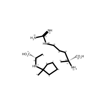 C[C@H](NC1(C)CCCC1)C(=O)O.C[C@](N)(CCCNC(=N)N)C(=O)O